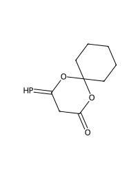 O=C1CC(=P)OC2(CCCCC2)O1